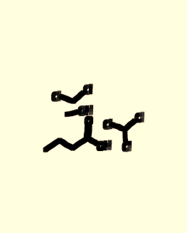 CCCC(=O)O.CO.ClC(Cl)Cl.ClCCl